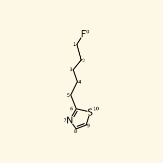 FCCCCCc1nccs1